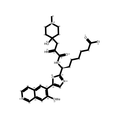 CCC(=O)CCCCC[C@H](NC(=O)C(=N)CC1(O)CCN(C)CC1)c1ncc(-c2cc3ccncc3cc2OC)o1